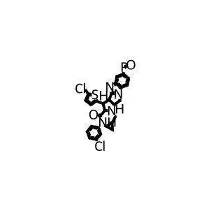 O=Pc1ccc2c(c1)nc1n2C[C@H]2[C@@H]1C(c1ccc(Cl)s1)C(C(=O)Nc1cccc(Cl)c1)N2CC1CC1